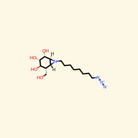 [N-]=[N+]=NCCCCCCCCN1[C@@H]2[C@@H](O)[C@@H](O)[C@H](O)[C@@H](CO)[C@H]21